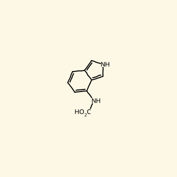 O=C(O)Nc1cccc2c[nH]cc12